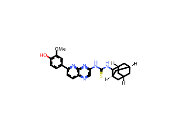 COc1cc(-c2ccc3ncc(NC(=S)NC4[C@H]5C[C@@H]6C[C@@H](C[C@H]4C6)C5)nc3n2)ccc1O